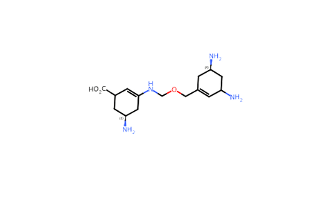 NC1C=C(COCNC2=CC(C(=O)O)C[C@H](N)C2)C[C@@H](N)C1